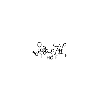 CC(C)OC(=O)[C@H](C)OP(=O)(OC[C@H]1O[C@@H](n2ncc(=O)[nH]c2=O)[C@@](F)(C#CCF)C1O)Oc1ccccc1